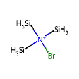 [SiH3][N+]([SiH3])([SiH3])Br